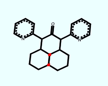 O=C(C(c1ccccn1)C1CCCCC1)C(c1ccccn1)C1CCCCC1